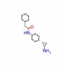 N[C@@H]1C[C@H]1c1ccc(NC(=O)Cc2ccccc2)cc1